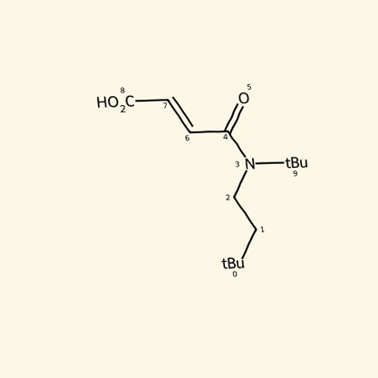 CC(C)(C)CCN(C(=O)/C=C/C(=O)O)C(C)(C)C